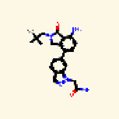 CC(C)(C#N)CN1Cc2c(-c3ccc4cnn(CC(N)=O)c4c3)ccc(N)c2C1=O